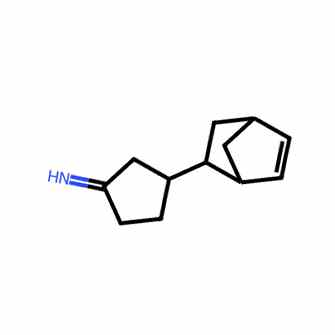 N=C1CCC(C2CC3C=CC2C3)C1